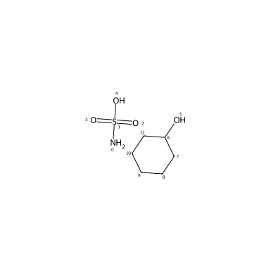 NS(=O)(=O)O.OC1CCCCC1